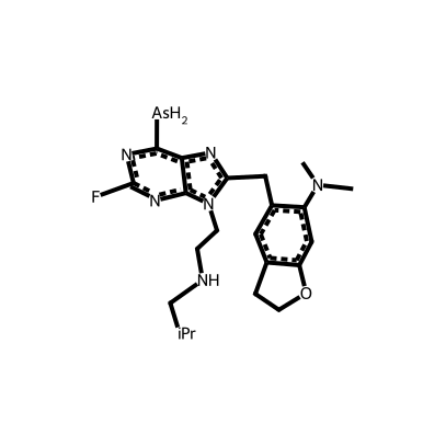 CC(C)CNCCn1c(Cc2cc3c(cc2N(C)C)OCC3)nc2c([AsH2])nc(F)nc21